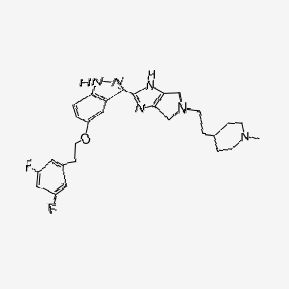 CN1CCC(CCN2Cc3nc(-c4n[nH]c5ccc(OCCc6cc(F)cc(F)c6)cc45)[nH]c3C2)CC1